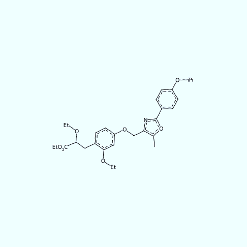 CCOC(=O)C(Cc1ccc(OCc2nc(-c3ccc(OC(C)C)cc3)oc2C)cc1OCC)OCC